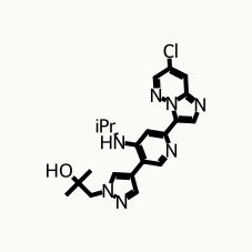 CC(C)Nc1cc(-c2cnc3cc(Cl)cnn23)ncc1-c1cnn(CC(C)(C)O)c1